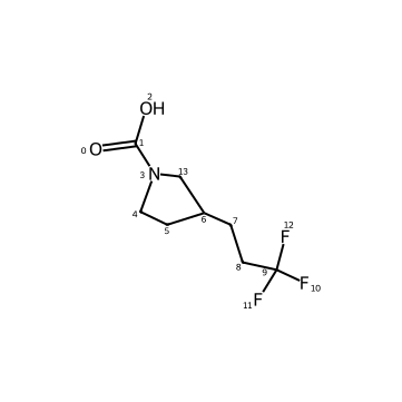 O=C(O)N1CCC(CCC(F)(F)F)C1